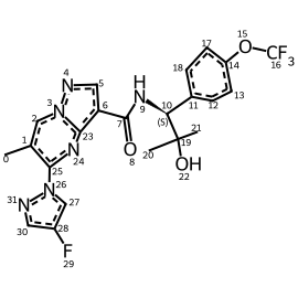 Cc1cn2ncc(C(=O)N[C@@H](c3ccc(OC(F)(F)F)cc3)C(C)(C)O)c2nc1-n1cc(F)cn1